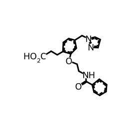 O=C(O)CCc1ccc(Cn2cccn2)cc1OCCNC(=O)c1ccccc1